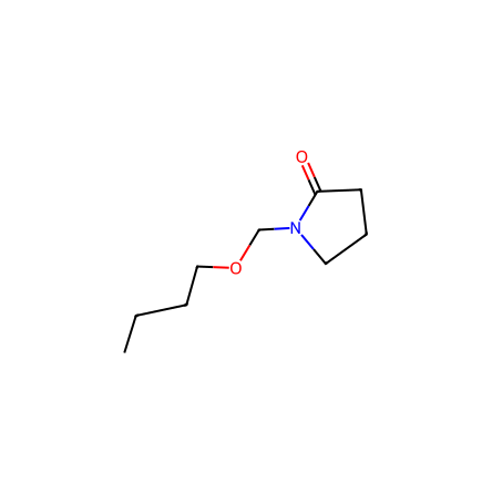 CCCCOCN1CCCC1=O